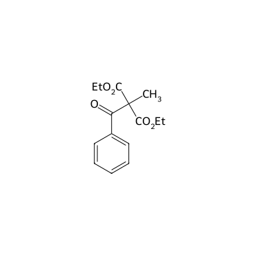 CCOC(=O)C(C)(C(=O)OCC)C(=O)c1ccccc1